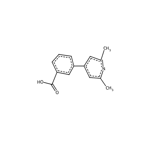 Cc1cc(-c2cccc(C(=O)O)c2)cc(C)n1